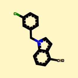 O=Cc1cccc2c1ccn2Cc1cccc(Cl)c1